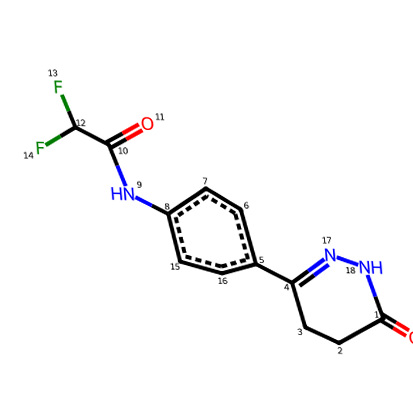 O=C1CCC(c2ccc(NC(=O)C(F)F)cc2)=NN1